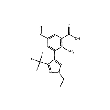 C=Cc1cc(C(=O)O)c(N)c(-c2cn(CC)nc2C(F)(F)F)c1